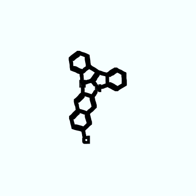 Clc1ccc2cc3c(cc2c1)n1c2ccccc2c2c4ccccc4n3c21